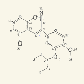 CCC(CC)Oc1nc(/C(C#N)=C/c2c(Cl)cncc2Cl)ccc1OC